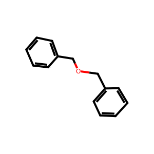 [c]1ccccc1COCc1ccccc1